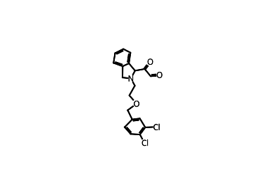 O=CC(=O)C1c2ccccc2CN1CCOCc1ccc(Cl)c(Cl)c1